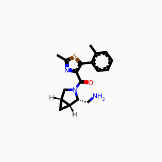 Cc1nc(C(=O)N2C[C@H]3C[C@H]3[C@H]2CN)c(-c2ccccc2C)s1